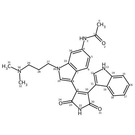 CC(=O)Nc1ccc2c(C3=C(c4c[nH]c5ccccc45)C(=O)NC3=O)cn(CCCN(C)C)c2c1